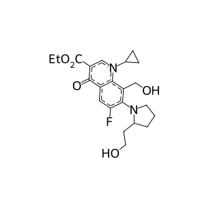 CCOC(=O)c1cn(C2CC2)c2c(CO)c(N3CCCC3CCO)c(F)cc2c1=O